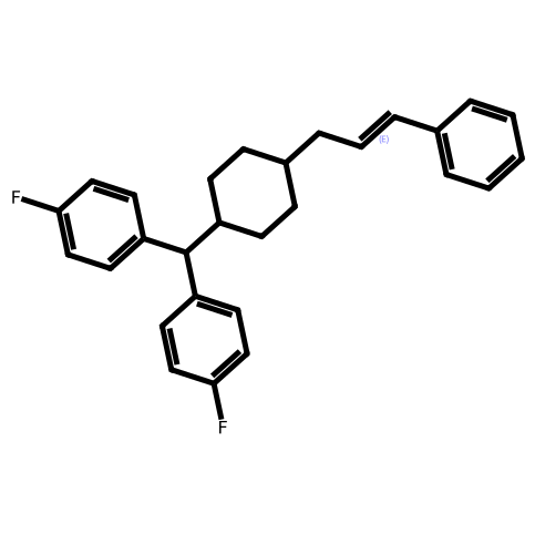 Fc1ccc(C(c2ccc(F)cc2)C2CCC(C/C=C/c3ccccc3)CC2)cc1